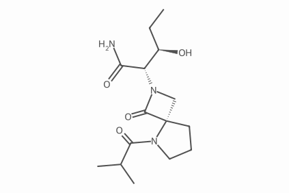 CC[C@@H](O)[C@@H](C(N)=O)N1C[C@@]2(CCCN2C(=O)C(C)C)C1=O